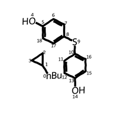 CCCCC1CC1.Oc1ccc(Sc2ccc(O)cc2)cc1